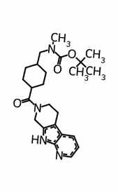 CN(CC1CCC(C(=O)N2CCc3c([nH]c4ncccc34)C2)CC1)C(=O)OC(C)(C)C